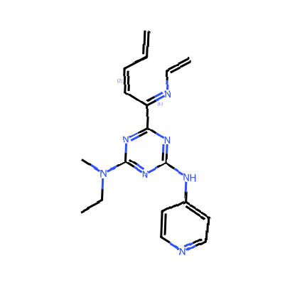 C=C/C=C\C(=N/C=C)c1nc(Nc2ccncc2)nc(N(C)CC)n1